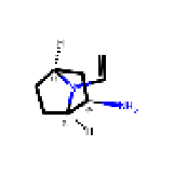 C=CN1[C@H]2CC[C@@H]1[C@H](N)C2